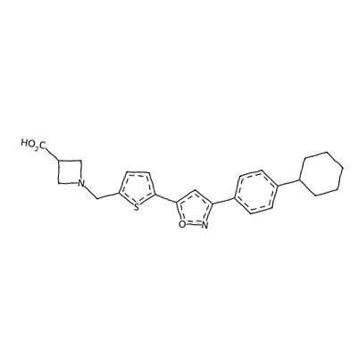 O=C(O)C1CN(Cc2ccc(-c3cc(-c4ccc(C5CCCCC5)cc4)no3)s2)C1